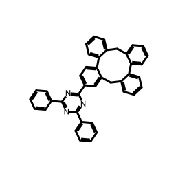 c1ccc(-c2nc(-c3ccccc3)nc(-c3ccc4c(c3)Cc3ccccc3-c3ccccc3Cc3ccccc3-4)n2)cc1